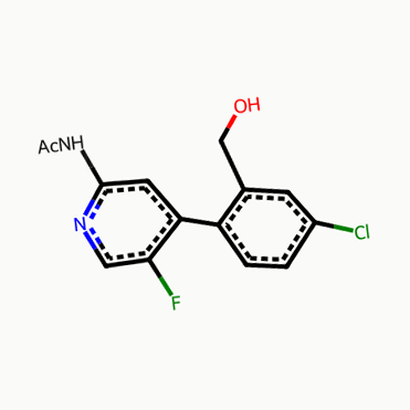 CC(=O)Nc1cc(-c2ccc(Cl)cc2CO)c(F)cn1